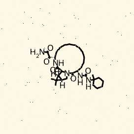 CC1(NC(=O)N[C@H]2CCCCCCCCCC[C@@H](C(=O)C(N)=O)NC(=O)[C@@H]3[C@@H]4[C@H](CN3C2=O)C4(C)C)CCCCC1